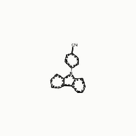 N#Cc1ccc(-n2c3ccccc3c3ccccc32)cc1